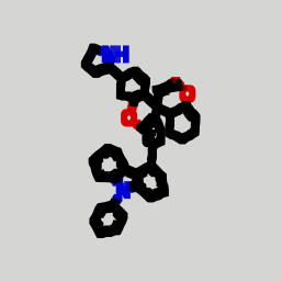 C1=CC2OC3=CCCCC3C3(C4=C(CC(C5=CCCN5)C=C4)OC4=C3CCC(c3cccc5c3c3ccccc3n5-c3ccccc3)C4)C2C=C1